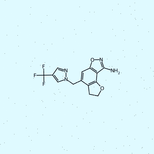 Nc1noc2cc(Cn3cc(C(F)(F)F)cn3)c3c(c12)OCC3